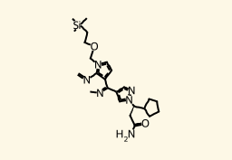 C=Nc1c(/C(=N\C)c2cnn([C@H](CC(N)=O)C3CCCC3)c2)ccn1COCC[Si](C)(C)C